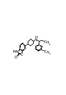 CCC(NC1CCC(c2ccc3[nH]c(=O)oc3c2)CC1)c1cccc(C)c1